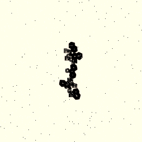 CCOc1c(CON(CC)c2cccc3ccccc23)cc2ccccc2c1N=Nc1ccc2c(c1)C(=O)c1cc(N=Nc3c(OCC)c(C(=O)N(CC)c4cccc5ccccc45)cc4ccccc34)ccc1-2